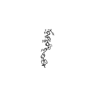 CC(C#N)Oc1ccc(-c2cnc3c(Nc4ccc(C(=O)NCCN5CCN(C(=O)OC(C)(C)C)CC5)c(Cl)c4)nccn23)c(F)c1F